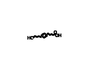 C#CCCCCN1CCN(CCCCC(=O)O)CC1